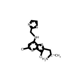 C[C@H](N)Cc1sc2c(NCc3nccs3)cc(Cl)nc2c1Cl